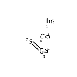 [Cd].[In].[S]=[Ga]